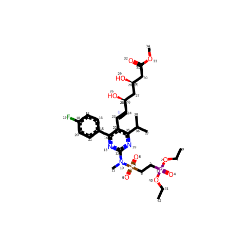 CCOP(=O)(CCS(=O)(=O)N(C)c1nc(-c2ccc(F)cc2)c(/C=C/[C@@H](O)C[C@@H](O)CC(=O)OC)c(C(C)C)n1)OCC